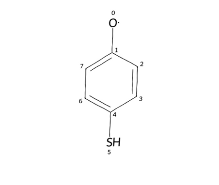 [O]c1ccc(S)cc1